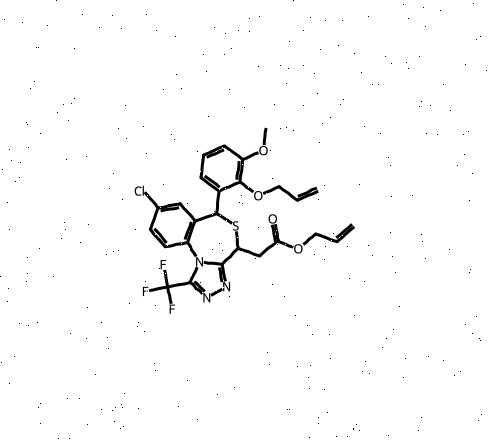 C=CCOC(=O)CC1SC(c2cccc(OC)c2OCC=C)c2cc(Cl)ccc2-n2c1nnc2C(F)(F)F